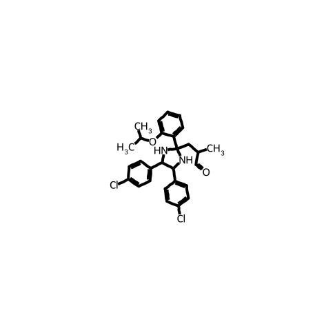 CC(C=O)CC1(c2ccccc2OC(C)C)NC(c2ccc(Cl)cc2)C(c2ccc(Cl)cc2)N1